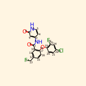 O=C(Nc1cc[nH]c(=O)c1)c1cc(CF)ccc1Oc1ccc(Cl)cc1F